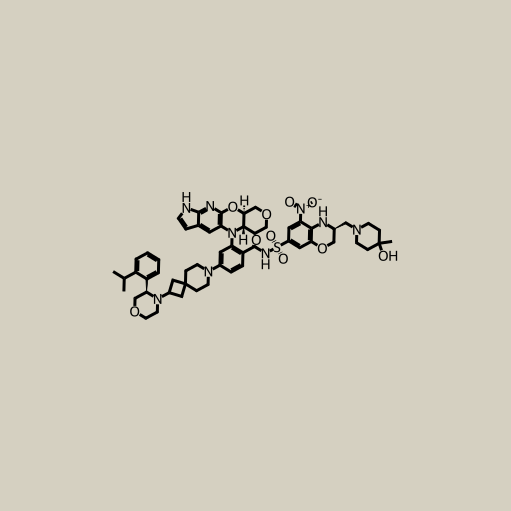 CC(C)c1ccccc1[C@@H]1COCCN1C1CC2(CCN(c3ccc(C(=O)NS(=O)(=O)c4cc5c(c([N+](=O)[O-])c4)N[C@@H](CN4CCC(C)(O)CC4)CO5)c(N4c5cc6cc[nH]c6nc5O[C@H]5COCC[C@@H]54)c3)CC2)C1